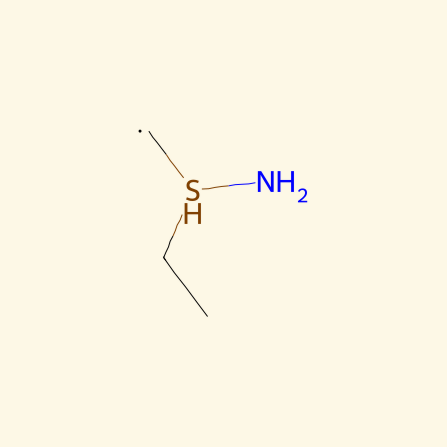 [CH2][SH](N)CC